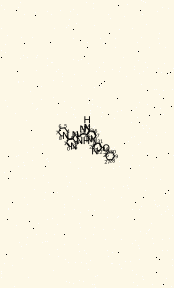 c1cc(N2CCCCC2)c2nc(-c3n[nH]c4ccc(-c5cncc(OC6CCCCC6)c5)nc34)[nH]c2n1